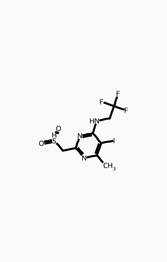 Cc1nc(C[SH](=O)=O)nc(NCC(F)(F)F)c1I